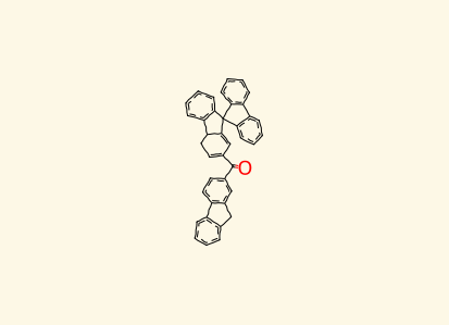 O=C(C1=CCC2C(=C1)C1(c3ccccc3-c3ccccc31)c1ccccc12)c1ccc2c(c1)Cc1ccccc1-2